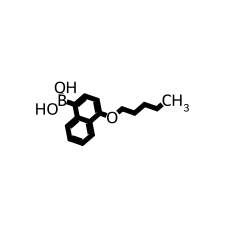 CCCCCOc1ccc(B(O)O)c2ccccc12